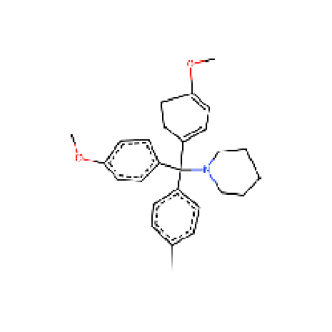 COC1=CC=C(C(c2ccc(C)cc2)(c2ccc(OC)cc2)N2CCCCC2)CC1